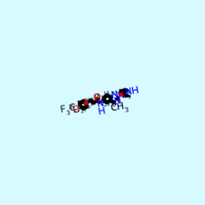 Cc1nc(N2CC3CC2CN3)nc2ccc(NC(=O)C=Cc3ccc(OC(F)(F)F)cc3)cc12